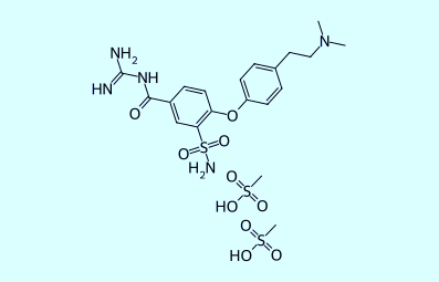 CN(C)CCc1ccc(Oc2ccc(C(=O)NC(=N)N)cc2S(N)(=O)=O)cc1.CS(=O)(=O)O.CS(=O)(=O)O